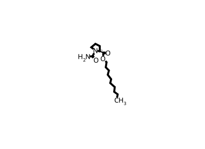 CCCCCCCCCCOC(=O)[C@@H]1CCCN1C(N)=O